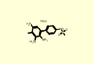 Cc1c(N)cc(-c2ccc(NS(C)(=O)=O)cc2)c(N)c1N.Cl